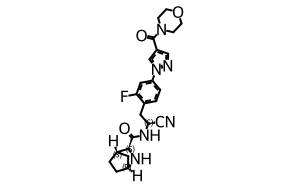 N#C[C@H](Cc1ccc(-n2cc(C(=O)N3CCOCC3)cn2)cc1F)NC(=O)[C@H]1N[C@@H]2CC[C@H]1C2